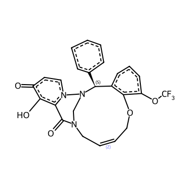 O=C1c2c(O)c(=O)ccn2N2CN1C/C=C\COc1c(OC(F)(F)F)cccc1[C@@H]2c1ccccc1